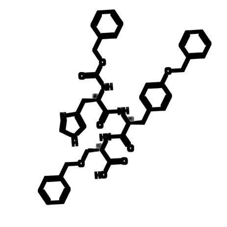 O=C(N[C@H](Cc1c[nH]cn1)C(=O)N[C@@H](Cc1ccc(OCc2ccccc2)cc1)C(=O)N[C@@H](COCc1ccccc1)C(=O)O)OCc1ccccc1